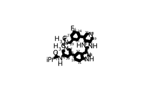 CC(C)C(=O)Nc1cncc(-c2ccc3[nH]nc(C4Nc5cncc(-c6cc(F)cc(CN(C)C)c6)c5N4)c3c2)c1